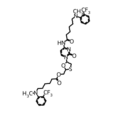 CN(CCCCCC(=O)Nc1ccn(C2CSC(COC(=O)CCCCCN(C)c3ccccc3C(F)(F)F)O2)c(=O)n1)c1ccccc1C(F)(F)F